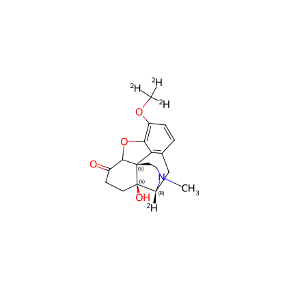 [2H]C([2H])([2H])Oc1ccc2c3c1OC1C(=O)CC[C@]4(O)[C@@]31CCN(C)[C@]4([2H])C2